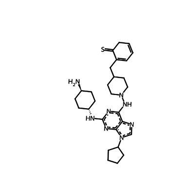 N[C@H]1CC[C@H](Nc2nc(NN3CCC(CC4=CC=CCC4=S)CC3)c3ncn(C4CCCC4)c3n2)CC1